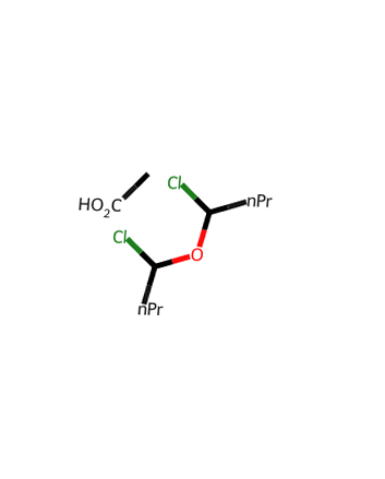 CC(=O)O.CCCC(Cl)OC(Cl)CCC